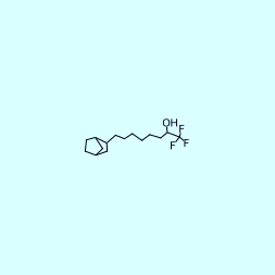 OC(CCCCCCC1CC2CCC1C2)C(F)(F)F